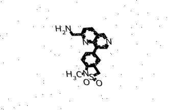 CN1c2ccc(-c3cncc4ccc(CN)nc34)cc2CS1(=O)=O